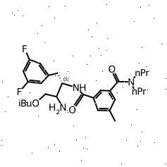 CCCN(CCC)C(=O)c1cc(C)cc(C(=O)N[C@@H](Cc2cc(F)cc(F)c2)C(N)COCC(C)C)c1